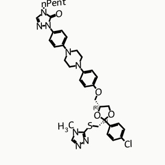 CCCCCn1cnn(-c2ccc(N3CCN(c4ccc(OC[C@@H]5CO[C@@](CSc6nncn6C)(c6ccc(Cl)cc6)O5)cc4)CC3)cc2)c1=O